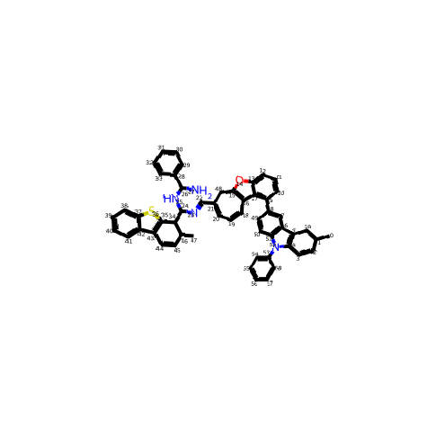 CC1C=Cc2c(c3cc(-c4cccc5oc6c(c45)C=CC=C(/C=N/C(NC(N)c4ccccc4)C4c5sc7ccccc7c5C=CC4C)C6)ccc3n2-c2ccccc2)C1